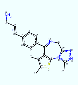 Cc1sc2c(c1C)C(c1ccc(/C=C/CN)cc1)=NCc1nnc(C)n1-2